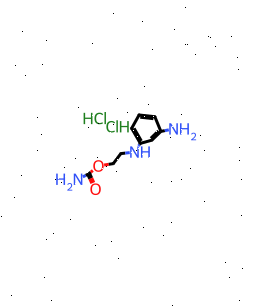 Cl.Cl.NC(=O)OCCNc1cccc(N)c1